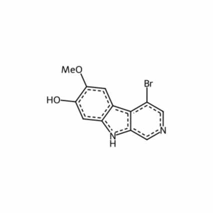 COc1cc2c(cc1O)[nH]c1cncc(Br)c12